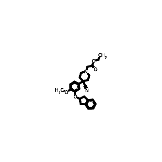 CCOC(=O)CN1CCC(C#N)(c2ccc(OC)c(OC3Cc4ccccc4C3)c2)CC1